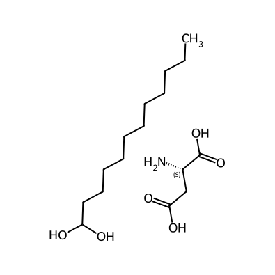 CCCCCCCCCCCC(O)O.N[C@@H](CC(=O)O)C(=O)O